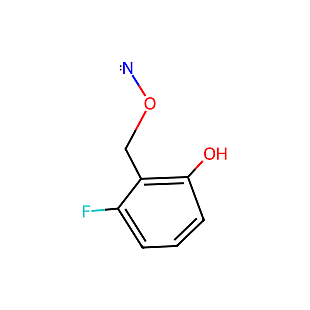 [N]OCc1c(O)cccc1F